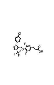 O=C(O)CCc1cc(F)c(OCc2c(C(F)(F)F)ccn2-c2ccc(Cl)cc2)c(F)c1